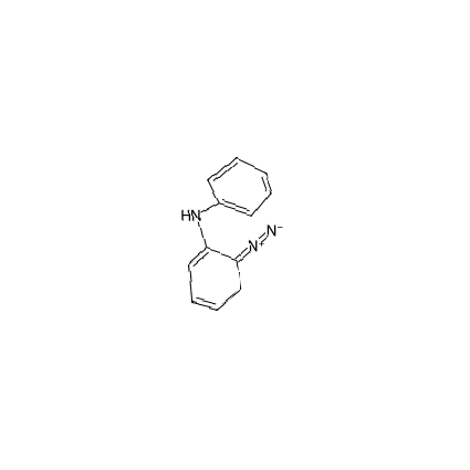 [N-]=[N+]=C1CC=CC=C1Nc1ccccc1